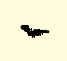 COCCOc1cc2nnc(NCCCN(C)CCCNC(=O)c3cccc4cc5ccccc5nc34)nc2c(O)c1O